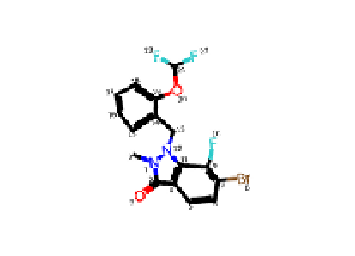 Cn1c(=O)c2ccc(Br)c(F)c2n1Cc1ccccc1OC(F)F